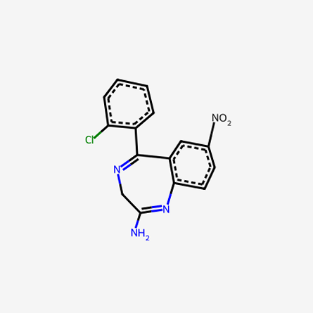 NC1=Nc2ccc([N+](=O)[O-])cc2C(c2ccccc2Cl)=NC1